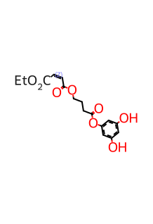 CCOC(=O)/C=C\C(=O)OCCCC(=O)Oc1cc(O)cc(O)c1